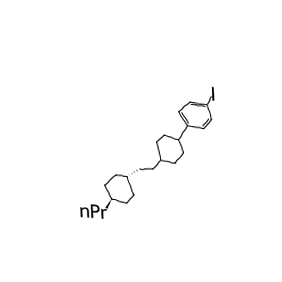 CCC[C@H]1CC[C@H](CCC2CCC(c3ccc(I)cc3)CC2)CC1